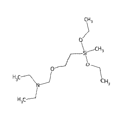 CCO[Si](C)(CCOCN(CC)CC)OCC